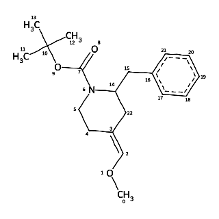 COC=C1CCN(C(=O)OC(C)(C)C)C(Cc2ccccc2)C1